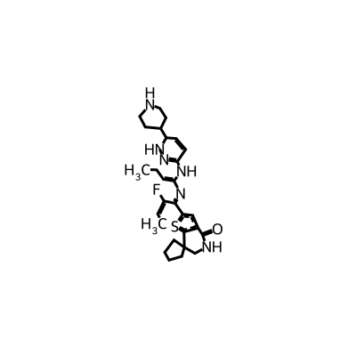 C\C=C(F)/C(=N\C(=C\CC)NC1=NNC(C2CCNCC2)C=C1)c1cc2c(s1)C1(CCCC1)CNC2=O